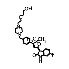 CC1(C)O/C(=C2/C(=O)Nc3cc(F)ccc32)C=C1c1ccc(CN2CCN(CCOCCO)CC2)cc1